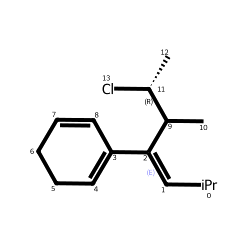 CC(C)/C=C(/C1=CCCC=C1)C(C)[C@@H](C)Cl